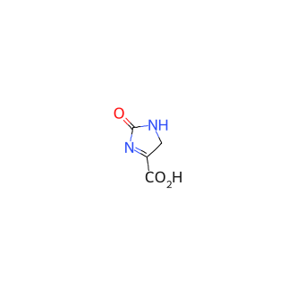 O=C1N=C(C(=O)O)CN1